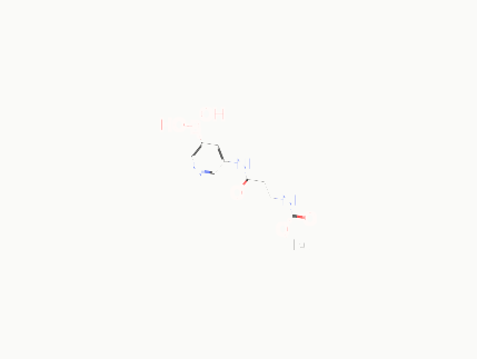 CC(C)(C)OC(=O)NCCC(=O)Nc1cncc(B(O)O)c1